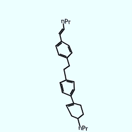 CCCC=Cc1ccc(CCc2ccc(C3=CCC(CCC)CC3)cc2)cc1